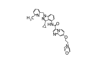 Cc1cccc(Cn2nc(C3CC3)c3c(NC(=O)c4cnc5cc(OCCN6CC7CC6=CO7)ccn45)cccc32)n1